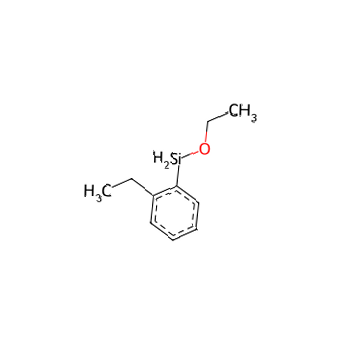 CCO[SiH2]c1ccccc1CC